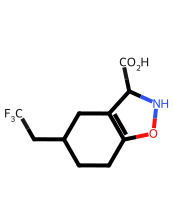 O=C(O)C1NOC2=C1CC(CC(F)(F)F)CC2